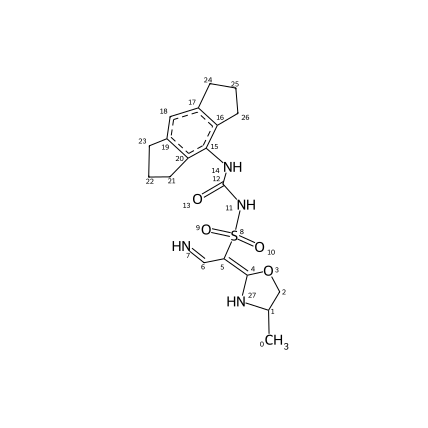 CC1CO/C(=C(/C=N)S(=O)(=O)NC(=O)Nc2c3c(cc4c2CCC4)CCC3)N1